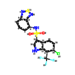 O=S(=O)(Nc1cccc2nsnc12)c1c[nH]c2c(C(F)(F)F)c(Cl)ccc12